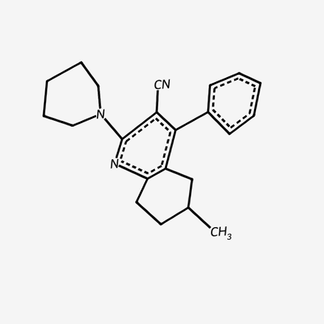 CC1CCc2nc(N3CCCCC3)c(C#N)c(-c3ccccc3)c2C1